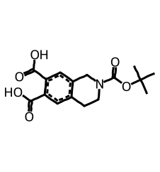 CC(C)(C)OC(=O)N1CCc2cc(C(=O)O)c(C(=O)O)cc2C1